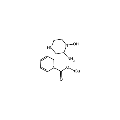 CC(C)(C)OC(=O)N1C=CC=CC1.NC1CNCCN1O